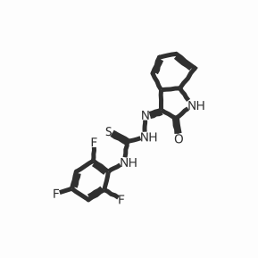 O=C1NC2C=CC=CC2/C1=N/NC(=S)Nc1c(F)cc(F)cc1F